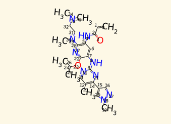 C=CC(=O)Nc1cc(Nc2ncc(C)c(-c3cnn(C)c3)n2)c(OC(C)C)nc1N(C)CCN(C)C